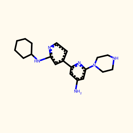 Nc1cc(-c2ccnc(NC3CCCCC3)c2)nc(N2CCNCC2)c1